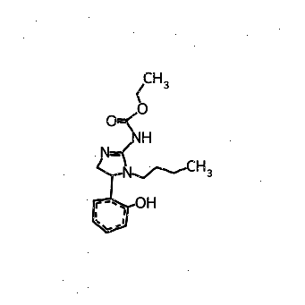 CCCCN1C(NC(=O)OCC)=NCC1c1ccccc1O